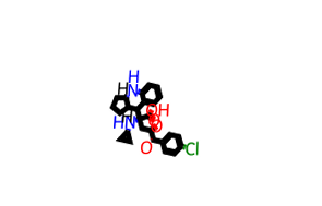 O=C(CC(NC1CC1)(C(=O)O)C1c2ccccc2N[C@@H]2CCC[C@H]12)C(=O)c1ccc(Cl)cc1